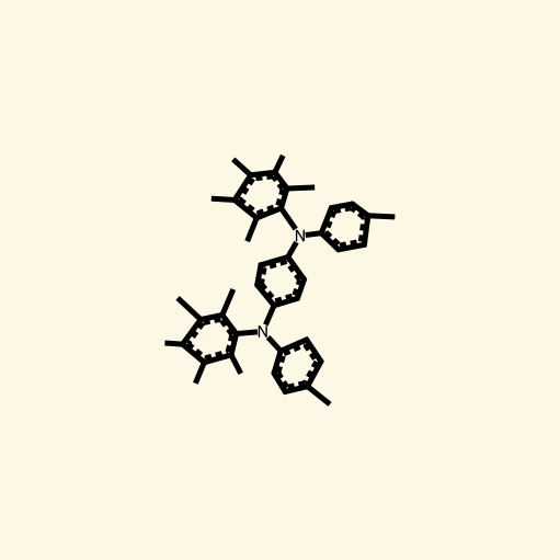 Cc1ccc(N(c2ccc(N(c3ccc(C)cc3)c3c(C)c(C)c(C)c(C)c3C)cc2)c2c(C)c(C)c(C)c(C)c2C)cc1